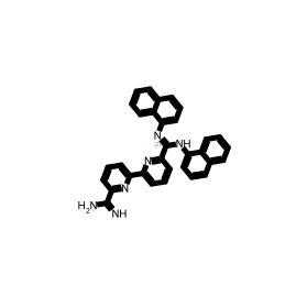 N=C(N)c1cccc(-c2cccc(/C(=N/c3cccc4ccccc34)Nc3cccc4ccccc34)n2)n1